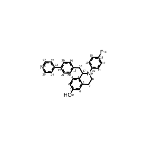 Oc1ccc2c(c1)CCN(c1ccc(F)cc1)C2Cc1ccc(-c2ccncc2)cc1